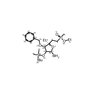 B[C@@H]1O[C@](CC)(CCP(C)(=O)OCC)[C@H](OCc2ccccc2)C1O[Si](C)(C)C(C)(C)C